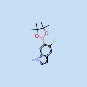 Cn1ccc2cc(F)c(B3OC(C)(C)C(C)(C)O3)cc21